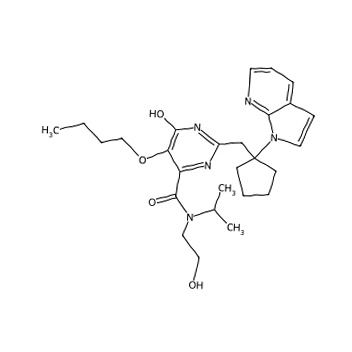 CCCCOc1c(O)nc(CC2(n3ccc4cccnc43)CCCC2)nc1C(=O)N(CCO)C(C)C